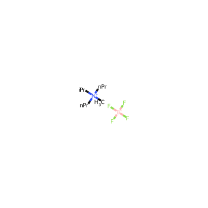 CCC[N+](C)(CCC)C(C)C.F[B-](F)(F)F